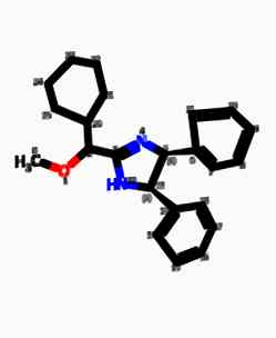 COC(C1=N[C@@H](c2ccccc2)[C@@H](c2ccccc2)N1)C1CCCCC1